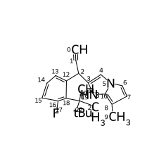 C#CC(c1cn2ccc(C)c2[nH]1)c1cccc(F)c1C(C)(C)C(C)(C)C